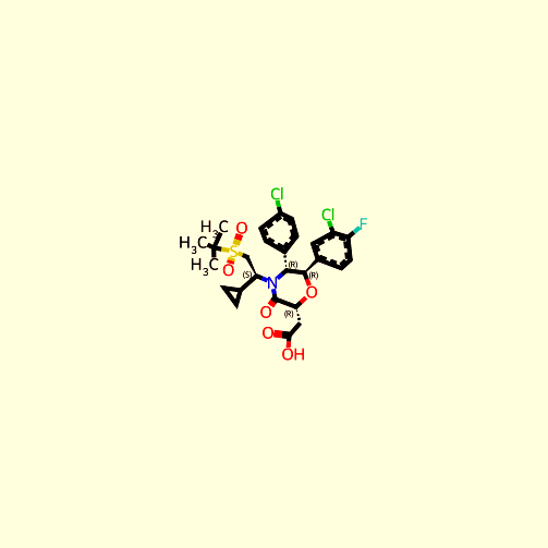 CC(C)(C)S(=O)(=O)C[C@H](C1CC1)N1C(=O)[C@@H](CC(=O)O)O[C@H](c2ccc(F)c(Cl)c2)[C@H]1c1ccc(Cl)cc1